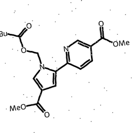 COC(=O)c1ccc(-c2cc(C(=O)OC)cn2COC(=O)C(C)(C)C)nc1